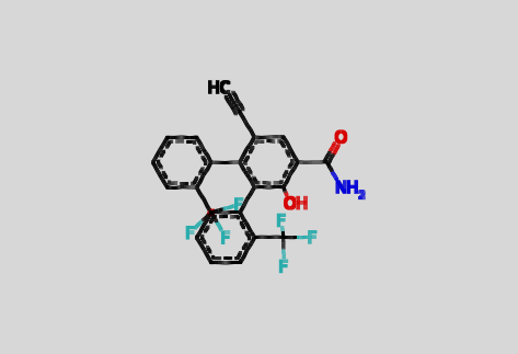 C#Cc1cc(C(N)=O)c(O)c(-c2ccccc2C(F)(F)F)c1-c1ccccc1C(F)(F)F